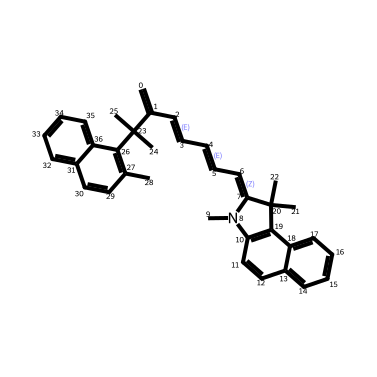 C=C(/C=C/C=C/C=C1\N(C)c2ccc3ccccc3c2C1(C)C)C(C)(C)c1c(C)ccc2ccccc12